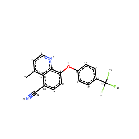 Cc1ccnc2c(Oc3ccc(C(F)(F)F)cc3)ccc(C#N)c12